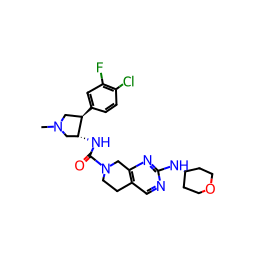 CN1C[C@@H](NC(=O)N2CCc3cnc(NC4CCOCC4)nc3C2)[C@H](c2ccc(Cl)c(F)c2)C1